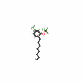 CCCCCCCCc1ccc(Br)cc1OC(F)(F)F